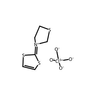 [O-][Cl+3]([O-])([O-])[O-].c1csc(=[N+]2CCSC2)s1